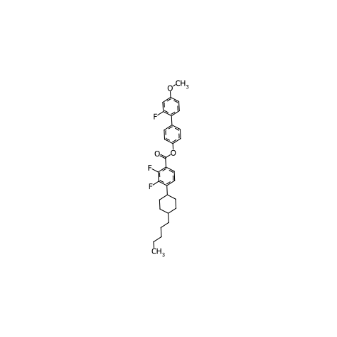 CCCCCC1CCC(c2ccc(C(=O)Oc3ccc(-c4ccc(OC)cc4F)cc3)c(F)c2F)CC1